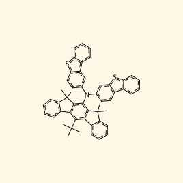 CC(C)(C)c1c2c(c(N(c3ccc4c(c3)sc3ccccc34)c3ccc4sc5ccccc5c4c3)c3c1-c1ccccc1C3(C)C)C(C)(C)c1ccccc1-2